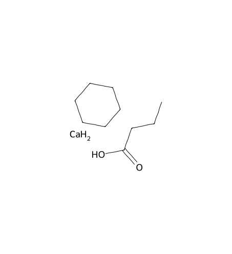 C1CCCCC1.CCCC(=O)O.[CaH2]